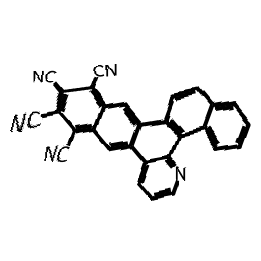 N#Cc1c(C#N)c(C#N)c2cc3c(cc2c1C#N)c1cccnc1c1c2ccccc2ccc31